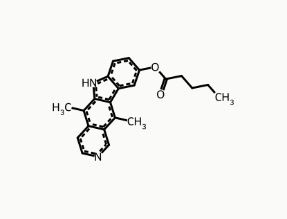 CCCCC(=O)Oc1ccc2[nH]c3c(C)c4ccncc4c(C)c3c2c1